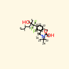 CCCCC(C)(O)C(F)(F)c1cccc([C@@H](C)N(C(=O)O)C(C)(C)C)c1F